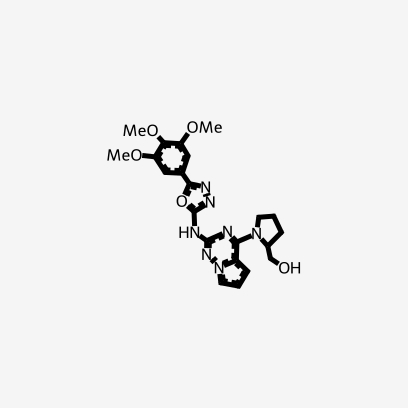 COc1cc(-c2nnc(Nc3nc(N4CCCC4CO)c4cccn4n3)o2)cc(OC)c1OC